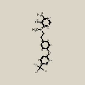 Cc1ncnc(N(C)CCc2ccc(Oc3ccc(C(F)(F)F)cn3)cc2)c1Cl